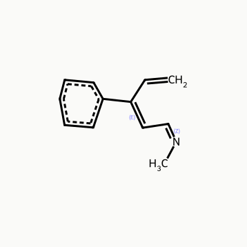 C=C/C(=C\C=N/C)c1ccccc1